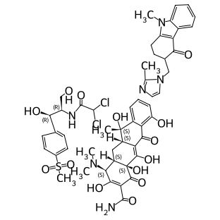 CN(C)[C@@H]1C(O)=C(C(N)=O)C(=O)[C@@]2(O)C(O)=C3C(=O)c4c(O)cccc4[C@@](C)(O)[C@H]3C[C@@H]12.CS(=O)(=O)c1ccc([C@@H](O)[C@@H](CO)NC(=O)C(Cl)Cl)cc1.Cc1nccn1CC1CCc2c(c3ccccc3n2C)C1=O